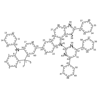 CC1(C)c2ccccc2N(c2ccccc2)c2ccc(-c3ccc4c(c3)c3ccc5nc(-c6ccccc6)sc5c3n4-c3nc(-c4ccccc4)cc(-c4ccccc4)n3)cc21